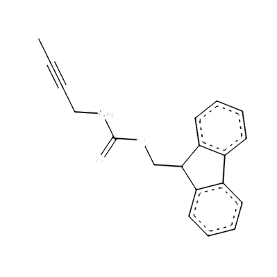 CC#CCNC(=O)OCC1c2ccccc2-c2ccccc21